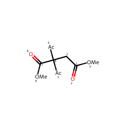 COC(=O)CC(C(C)=O)(C(C)=O)C(=O)OC